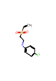 C=CS(=O)(=O)CC[N]c1ccc(Cl)cc1